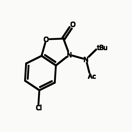 CC(=O)N(n1c(=O)oc2ccc(Cl)cc21)C(C)(C)C